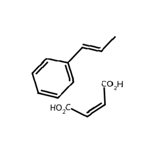 CC=Cc1ccccc1.O=C(O)/C=C\C(=O)O